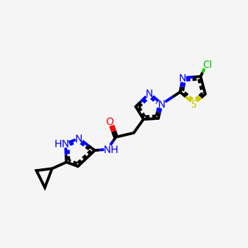 O=C(Cc1cnn(-c2nc(Cl)cs2)c1)Nc1cc(C2CC2)[nH]n1